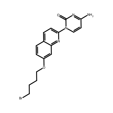 Nc1ccn(-c2ccc3ccc(OCCCCBr)cc3n2)c(=O)n1